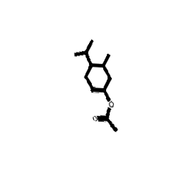 CC(=O)OC1CCC(C(C)C)C(C)C1